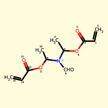 C=CC(=O)OC(C)N(C=O)C(C)OC(=O)C=C